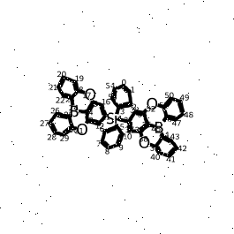 c1ccc([Si](c2ccccc2)(c2cc3c4c(c2)Oc2ccccc2B4c2ccccc2O3)c2cc3c4c(c2)Oc2ccccc2B4c2ccccc2O3)cc1